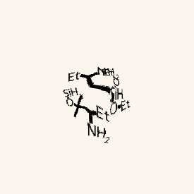 CCC(N)C(C)(C)O[SiH3].CCO[SiH](CC(N)CC)OCC